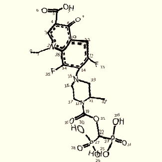 CCn1cc(C(=O)O)c(=O)c2cc(F)c(N3CCN(C(=O)OC(P(=O)(O)O)P(=O)(O)O)C(C)C3)c(F)c21